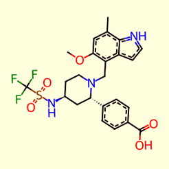 COc1cc(C)c2[nH]ccc2c1CN1CC[C@H](NS(=O)(=O)C(F)(F)F)C[C@H]1c1ccc(C(=O)O)cc1